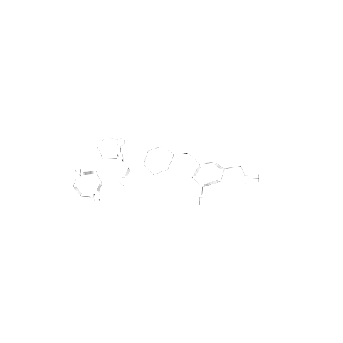 O=C([C@H]1CC[C@H](Cc2cc(F)cc(CO)c2)CC1)N1OCC[C@H]1c1cnccn1